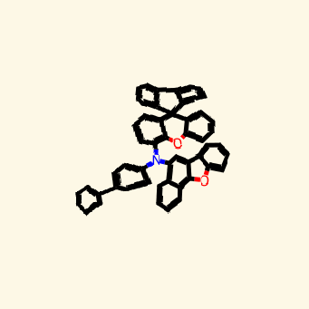 c1ccc(-c2ccc(N(c3cccc4c3Oc3ccccc3C43c4ccccc4-c4ccccc43)c3cc4c5ccccc5oc4c4ccccc34)cc2)cc1